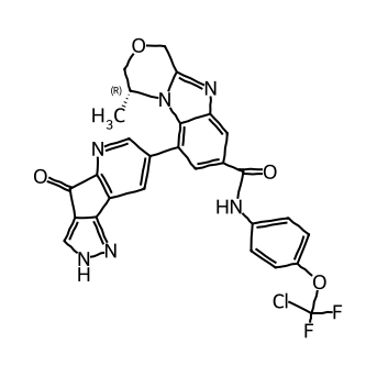 C[C@@H]1COCc2nc3cc(C(=O)Nc4ccc(OC(F)(F)Cl)cc4)cc(-c4cnc5c(c4)-c4n[nH]cc4C5=O)c3n21